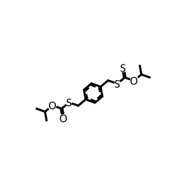 CC(C)OC(=O)SCc1ccc(CSC(=S)OC(C)C)cc1